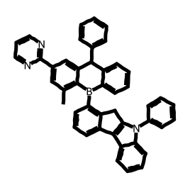 Cc1cc(-c2ncccn2)cc2c1B(c1cccc3c1Cc1c-3c3ccccc3n1-c1ccccc1)c1ccccc1C2c1ccccc1